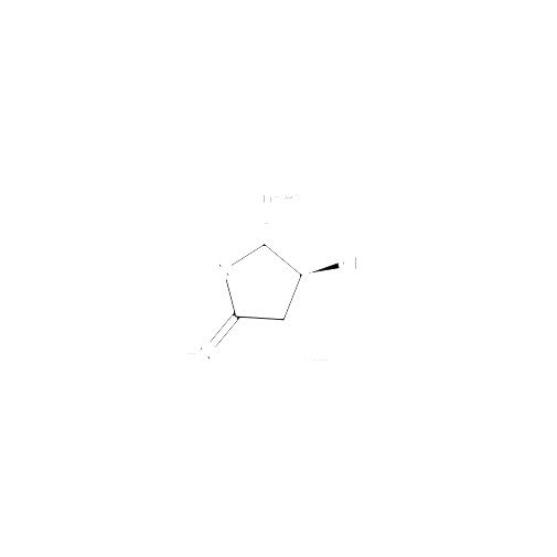 CCCCC[C@H]1NC(=N)[C@@H](O)[C@@H]1C(F)(F)F